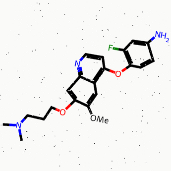 COc1cc2c(Oc3ccc(N)cc3F)ccnc2cc1OCCCN(C)C